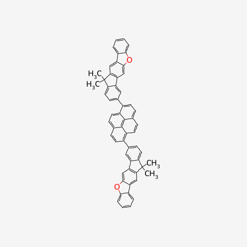 CC1(C)c2ccc(-c3ccc4ccc5c(-c6ccc7c(c6)-c6cc8oc9ccccc9c8cc6C7(C)C)ccc6ccc3c4c65)cc2-c2cc3oc4ccccc4c3cc21